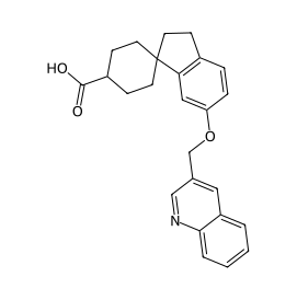 O=C(O)C1CCC2(CCc3ccc(OCc4cnc5ccccc5c4)cc32)CC1